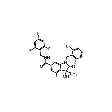 CC1(O)C(=O)N(Cc2c(F)cccc2Cl)c2cc(C(=O)NCc3c(F)cc(F)cc3F)cc(I)c21